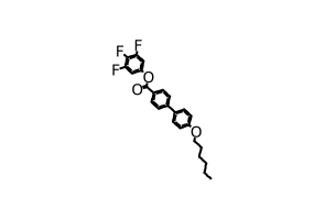 CCCCCCOc1ccc(-c2ccc(C(=O)Oc3cc(F)c(F)c(F)c3)cc2)cc1